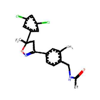 CCC(=O)NCc1ccc(C2=NOC(c3cc(Cl)cc(Cl)c3)(C(F)(F)F)C2)cc1C